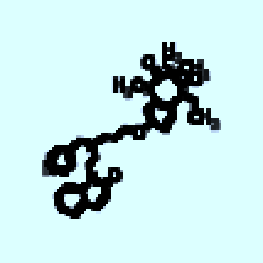 CCN1C(=O)C(C)(C)C(=O)N(C)c2cc(OCCCN(CCn3c(=O)ccc4ccccc43)Cc3ccncc3)ccc21